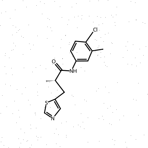 Cc1cc(NC(=O)[C@@H](C)Cc2cncs2)ccc1Cl